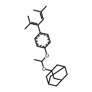 CC(C)=CC(=C(C)C)c1ccc(OC(C)OC23CC4CC(CC(C4)C2)C3)cc1